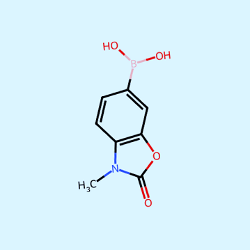 Cn1c(=O)oc2cc(B(O)O)ccc21